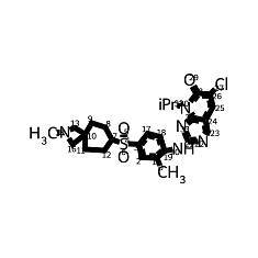 Cc1cc(S(=O)(=O)C2CCC3(CC2)CN(C)C3)ccc1Nc1ncc2cc(Cl)c(=O)n(C(C)C)c2n1